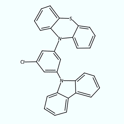 Clc1cc(N2c3ccccc3Sc3ccccc32)cc(-n2c3ccccc3c3ccccc32)c1